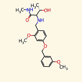 CNC(=O)C(NCc1ccc(OCc2cccc(OC)c2)cc1OC)[C@H](C)O